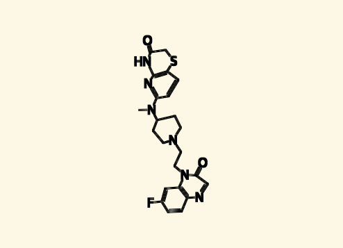 CN(c1ccc2c(n1)NC(=O)CS2)C1CCN(CCn2c(=O)cnc3ccc(F)cc32)CC1